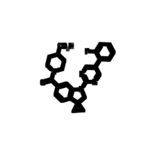 O=C(O)C1CCN(C(=O)c2ccc3c(c2)N(c2ncc(-c4ccccc4F)cn2)CC32CC2)CC1